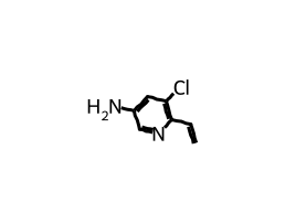 C=Cc1ncc(N)cc1Cl